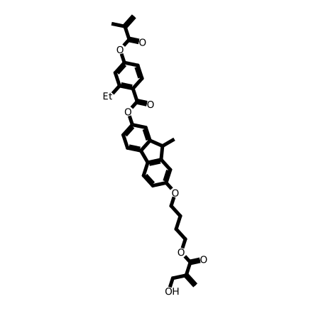 C=C(C)C(=O)Oc1ccc(C(=O)Oc2ccc3c(c2)C(C)c2cc(OCCCCOC(=O)C(=C)CO)ccc2-3)c(CC)c1